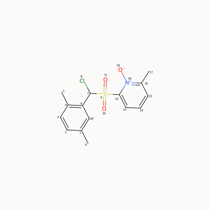 Cc1ccc(C)c(C(Cl)S(=O)(=O)c2cccc(C)[n+]2[O-])c1